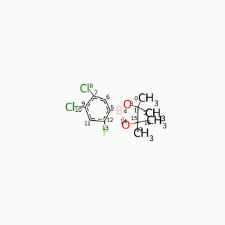 CC1(C)OB(c2cc(Cl)c(Cl)cc2F)OC1(C)C